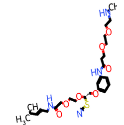 CNCCOCCOCCC(=O)Nc1cccc(OC[C@@H](OCCOCC(=O)NC/C=C/C(C)C)SC#N)c1